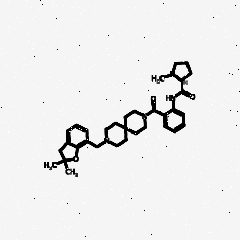 CN1CCC[C@H]1C(=O)Nc1ccccc1C(=O)N1CCC2(CCN(Cc3cccc4c3OC(C)(C)C4)CC2)CC1